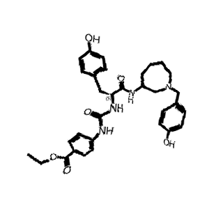 CCOC(=O)c1ccc(NC(=O)N[C@@H](Cc2ccc(O)cc2)C(=O)NC2CCCCN(Cc3ccc(O)cc3)C2)cc1